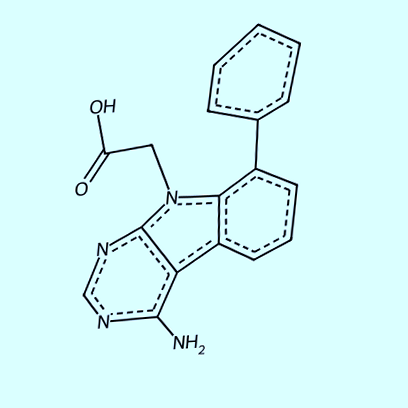 Nc1ncnc2c1c1cccc(-c3ccccc3)c1n2CC(=O)O